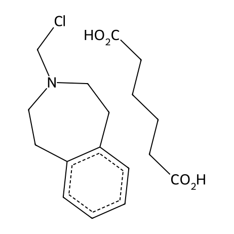 ClCN1CCc2ccccc2CC1.O=C(O)CCCCC(=O)O